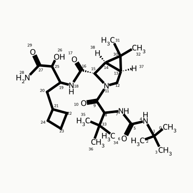 CC(C)(C)NC(=O)NC(C(=O)N1C[C@H]2[C@@H]([C@H]1C(=O)NC(CC1CCC1)C(O)C(N)=O)C2(C)C)C(C)(C)C